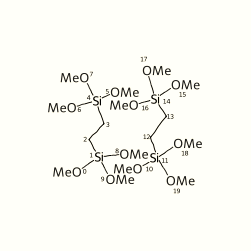 CO[Si](CC[Si](OC)(OC)OC)(OC)OC.CO[Si](CC[Si](OC)(OC)OC)(OC)OC